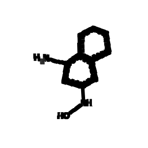 Nc1cc(NO)cc2ccccc12